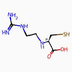 N=C(N)NCCN[C@@H](CS)C(=O)O